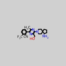 Cc1nc(N2CCC3(CCC[C@H]3N)CC2)c(CO)nc1-c1cccc(C(F)(F)F)c1C#N